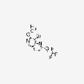 COc1ncc2ccc(OCC(F)(F)F)nc2c1Br